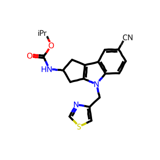 CC(C)OC(=O)NC1Cc2c(n(Cc3cscn3)c3ccc(C#N)cc23)C1